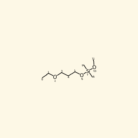 CCOCCCO[Si](C)(C)OC